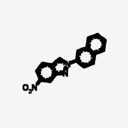 O=[N+]([O-])c1ccc2cn(-c3ccc4ccccc4c3)nc2c1